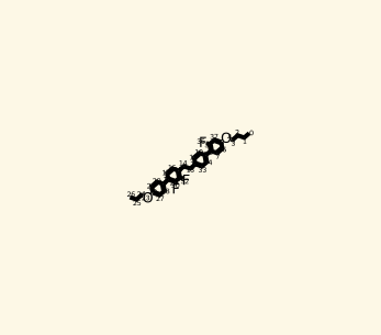 CCCCOc1ccc(-c2ccc(CCc3ccc(-c4ccc(OCCC)cc4)c(F)c3F)cc2)c(F)c1